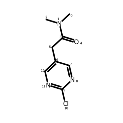 CN(C)C(=O)Cc1cnc(Cl)nc1